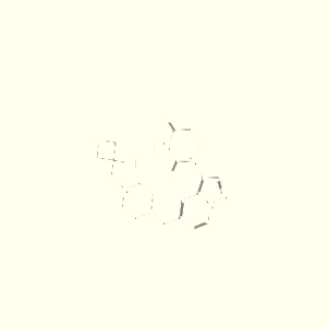 CC1(CN2CCC(Cc3ccn4ncc(N5CCC(=O)NC5=O)c4c3)CC2)COC1